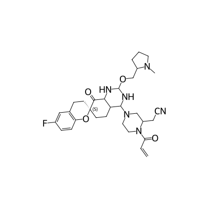 C=CC(=O)N1CCN(C2NC(OCC3CCCN3C)NC3C(=O)[C@@]4(CCc5cc(F)ccc5O4)CCC32)CC1CC#N